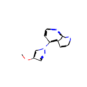 COc1cnn(-c2ccnc3[nH]ccc23)c1